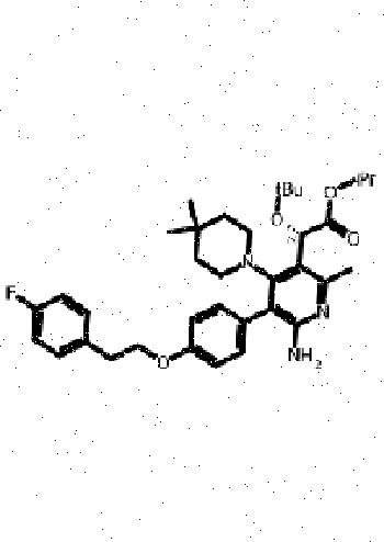 Cc1nc(N)c(-c2ccc(OCCc3ccc(F)cc3)cc2)c(N2CCC(C)(C)CC2)c1[C@H](OC(C)(C)C)C(=O)OC(C)C